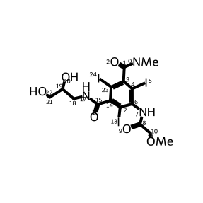 CNC(=O)c1c(I)c(NC(=O)COC)c(I)c(C(=O)NCC(O)CO)c1I